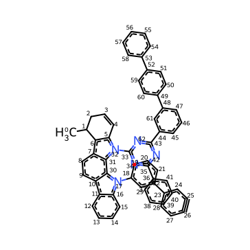 CC1CC=Cc2c1c1ccc3c4ccccc4n(-c4cccc(-c5cc#ccc5)c4)c3c1n2-c1nc(-c2ccccc2)nc(-c2cccc(-c3ccc(-c4ccccc4)cc3)c2)n1